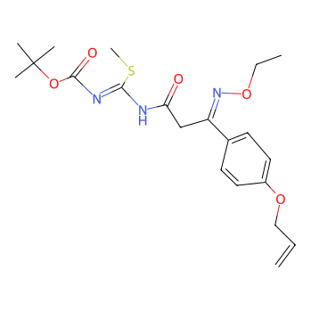 C=CCOc1ccc(/C(CC(=O)N/C(=N/C(=O)OC(C)(C)C)SC)=N\OCC)cc1